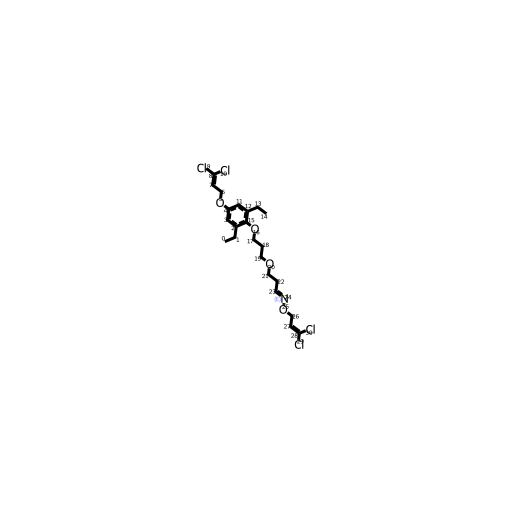 CCc1cc(OCC=C(Cl)Cl)cc(CC)c1OCCCOCC/C=N/OCC=C(Cl)Cl